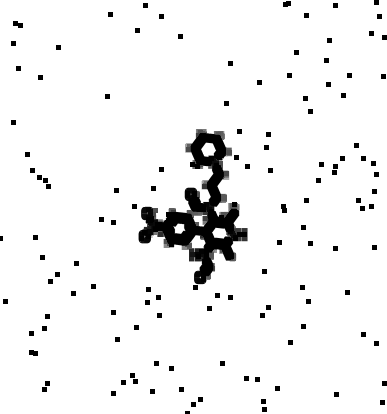 CC1=C(NC=O)C(c2ccc([N+](=O)[O-])cc2)C(N(C=O)CCCN2CCCCC2)=C(C)N1